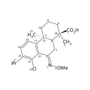 CON=C1CC2[C@](C)(C(=O)O)CCC[C@]2(C)c2ccc(C(C)C)c(Cl)c21